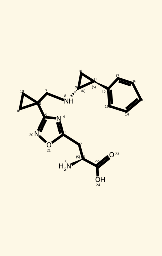 N[C@@H](Cc1nc(C2(CN[C@@H]3C[C@H]3c3ccccc3)CC2)no1)C(=O)O